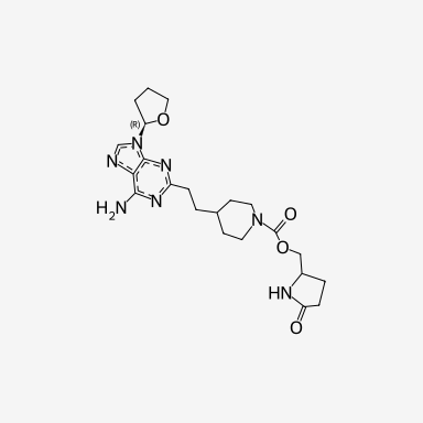 Nc1nc(CCC2CCN(C(=O)OCC3CCC(=O)N3)CC2)nc2c1ncn2[C@H]1CCCO1